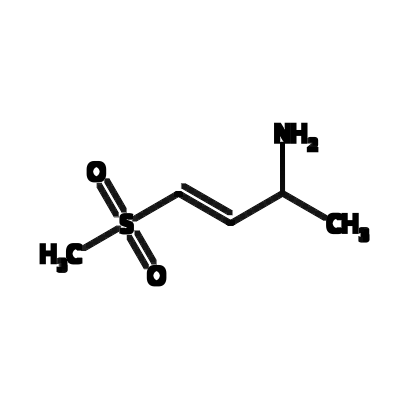 CC(N)/C=C/S(C)(=O)=O